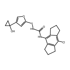 O=C(NSc1cc(C2(O)CC2)co1)Nc1c2c(c(Cl)c3c1CCC3)CCC2